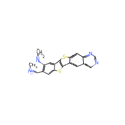 C=Nc1cc2c(cc1/C=N\C)sc1c3cc4cncnc4cc3sc21